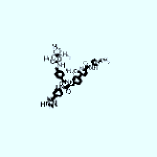 Cc1nc(C(=O)N[C@@H]2CCN(C)C2)ccc1-c1ccc(C[C@H](NC(=O)C2CCC(CNC(=O)OC(C)(C)C)CC2)C(=O)Nc2ccc(-c3nn[nH]n3)cc2)cc1